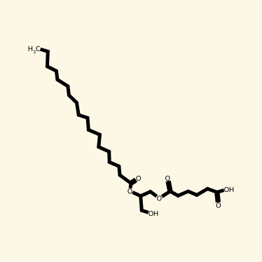 CCCCCCCCCCCCCCCCCC(=O)OC(CO)COC(=O)CCCCC(=O)O